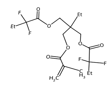 C=C(C)C(=O)OCC(CC)(COC(=O)C(F)(F)CC)COC(=O)C(F)(F)CC